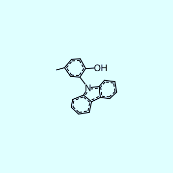 Cc1ccc(O)c(-n2c3ccccc3c3ccccc32)c1